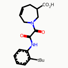 CC(C)(C)c1ccccc1NC(=O)C(=O)N1CC=CCC(C(=O)O)C1